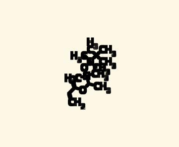 C=CC(=O)OC(C)[Si](C)(C)O[Si](C)(C)C(C)(C)C